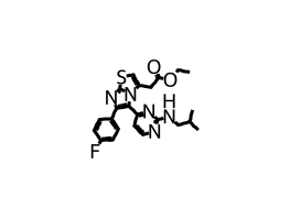 CCOC(=O)Cc1csc2nc(-c3ccc(F)cc3)c(-c3ccnc(NCC(C)C)n3)n12